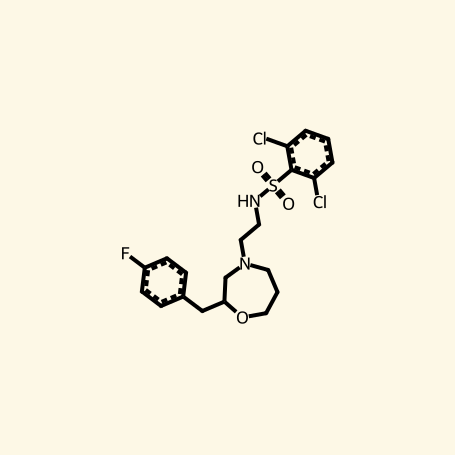 O=S(=O)(NCCN1CCCOC(Cc2ccc(F)cc2)C1)c1c(Cl)cccc1Cl